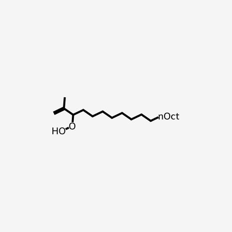 C=C(C)C(CCCCCCCCCCCCCCCC)OO